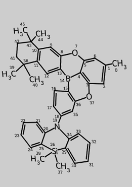 Cc1cc2c3c(c1)Oc1cc4c(cc1B3c1ccc(N3c5ccccc5[Si](C)(C)c5ccccc53)cc1O2)C(C)(C)CCC4(C)C